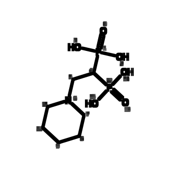 O=P(O)(O)C(CN1CCCCC1)P(=O)(O)O